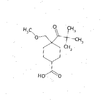 COCC1(C(=O)C(C)(C)C)CCC(C(=O)O)CC1